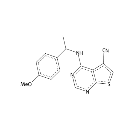 COc1ccc(C(C)Nc2ncnc3scc(C#N)c23)cc1